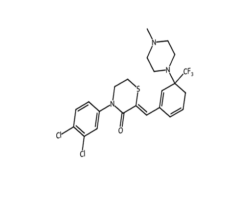 CN1CCN(C2(C(F)(F)F)C=C(C=C3SCCN(c4ccc(Cl)c(Cl)c4)C3=O)C=CC2)CC1